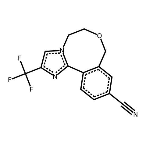 N#Cc1ccc2c(c1)COCCn1cc(C(F)(F)F)nc1-2